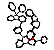 c1ccc(-c2ccc(-c3ccccc3N(c3cccc(-c4ccc5oc6ccccc6c5c4)c3)c3cccc(-c4cccc5c4-c4ccccc4C5(c4ccccc4)c4ccccc4)c3)cc2)cc1